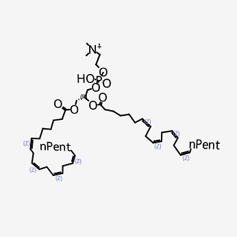 CCCCC/C=C\C/C=C\C/C=C\C/C=C\CCCCCC(=O)OC[C@H](COP(=O)(O)OCC[N+](C)(C)C)OC(=O)CCCCC/C=C\C/C=C\C/C=C\C/C=C\CCCCC